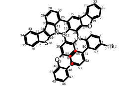 CC(C)(C)c1ccc(N2c3cc4c(cc3B3c5c(cc6c(oc7ccccc76)c52)-c2cccc5c6c7ccccc7sc6n3c25)Oc2ccccc2O4)c(-c2ccccc2)c1